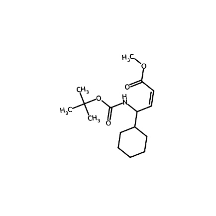 COC(=O)/C=C\C(NC(=O)OC(C)(C)C)C1CCCCC1